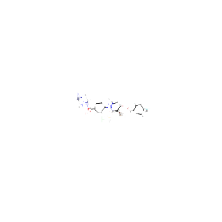 Cc1cc(OCc2ccc(F)cc2F)c(Br)c(=O)n1-c1ccc(C(=O)N2CCNCC2)cc1.Cl